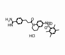 Cc1cc(C)c(C)c(S(=O)(=O)Nc2ccc3c(c2)CCCN3C(=O)CCc2ccc(C(=N)N)cc2)c1C.Cl